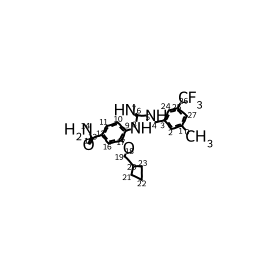 Cc1cc(CNC(=N)Nc2ccc(C(N)=O)cc2OCC2CCC2)cc(C(F)(F)F)c1